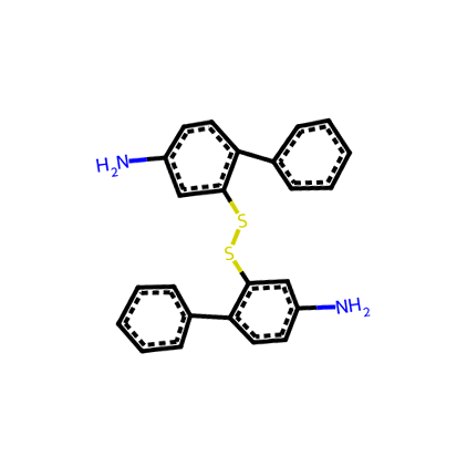 Nc1ccc(-c2ccccc2)c(SSc2cc(N)ccc2-c2ccccc2)c1